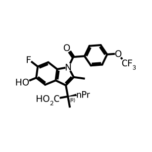 CCC[C@@](C)(C(=O)O)c1c(C)n(C(=O)c2ccc(OC(F)(F)F)cc2)c2cc(F)c(O)cc12